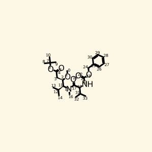 CO[C@H](CC(=O)OC(C)(C)C)[C@H](C(C)C)N(C)C(=O)[C@@H](NC(=O)OCc1ccccc1)C(C)C